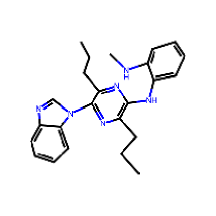 CCCc1nc(-n2cnc3ccccc32)c(CCC)nc1Nc1ccccc1NC